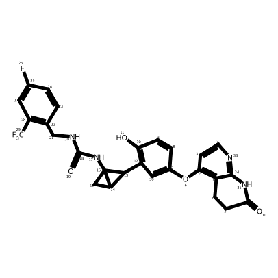 O=C1CCc2c(Oc3ccc(O)c(C4C5CC54NC(=O)NCc4ccc(F)cc4C(F)(F)F)c3)ccnc2N1